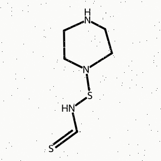 S=[C]NSN1CCNCC1